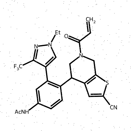 C=CC(=O)N1Cc2sc(C#N)cc2C(c2ccc(NC(C)=O)cc2-c2cn(CC)nc2C(F)(F)F)C1